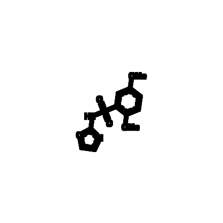 COc1ccc(OC)c(S(=O)(=O)Nc2ncco2)c1